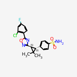 CC1(C)[C@@H](c2ccc(S(N)(=O)=O)cc2)[C@@H]1c1noc(-c2ccc(F)cc2Cl)n1